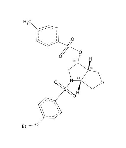 CCOc1ccc(S(=O)(=O)N2C[C@H](OS(=O)(=O)c3ccc(C)cc3)[C@@H]3COC[C@@H]32)cc1